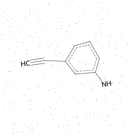 C#Cc1cccc([NH])c1